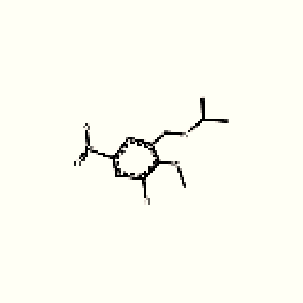 COc1c(Cl)cc([N+](=O)[O-])cc1CNC(C)C